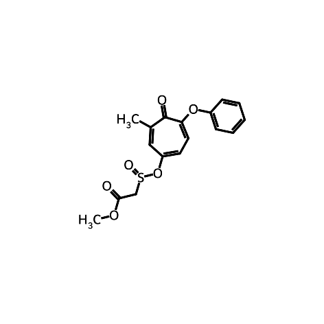 COC(=O)CS(=O)Oc1ccc(Oc2ccccc2)c(=O)c(C)c1